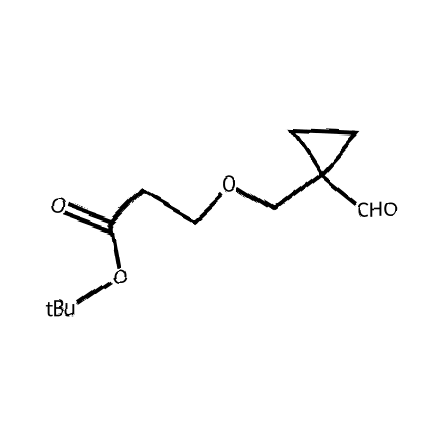 CC(C)(C)OC(=O)CCOCC1(C=O)CC1